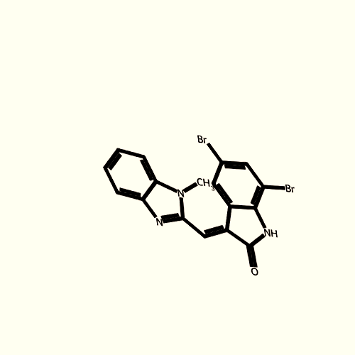 Cn1c(C=C2C(=O)Nc3c(Br)cc(Br)cc32)nc2ccccc21